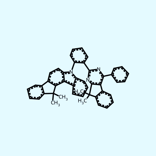 CC1(C)c2ccccc2-c2c(-c3ccccc3)nc(-c3ccccc3-n3c4ccccc4c4c5c(ccc43)-c3ccccc3C5(C)C)nc21